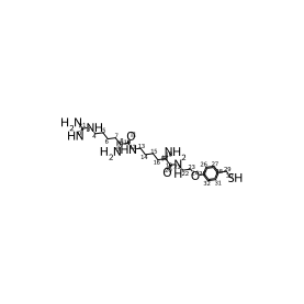 N=C(N)NCCCC[C@@H](N)C(=O)NCCCC[C@@H](N)C(=O)NCCOc1ccc(CS)cc1